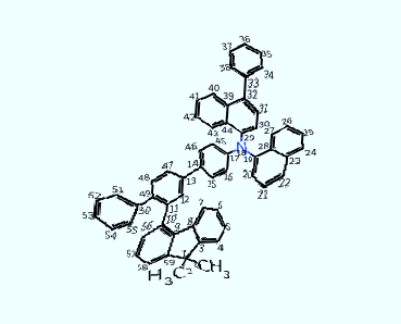 CC1(C)c2ccccc2-c2c(-c3cc(-c4ccc(N(c5cccc6ccccc56)c5ccc(-c6ccccc6)c6ccccc56)cc4)ccc3-c3ccccc3)cccc21